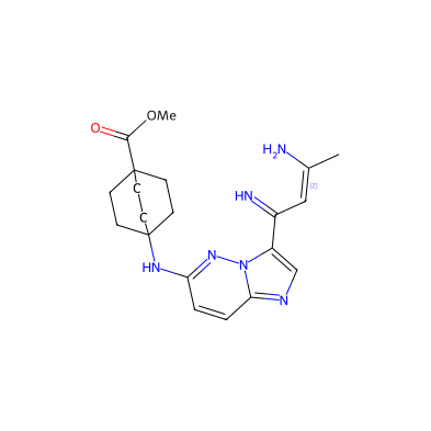 COC(=O)C12CCC(Nc3ccc4ncc(C(=N)/C=C(/C)N)n4n3)(CC1)CC2